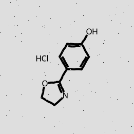 Cl.Oc1ccc(C2=NCCO2)cc1